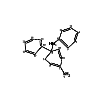 NC1=CCC(Nc2ccccc2)(c2ccccc2)C=C1